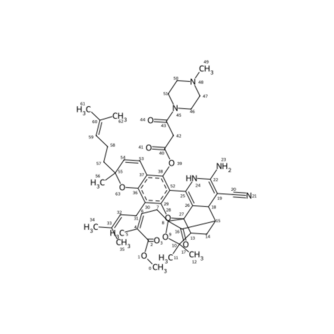 COC(=O)/C(C)=C\CC12OC(C)(C)C3CC(C1=O)C1C(C#N)=C(N)NC4=C1C32Oc1c(CC=C(C)C)c2c(c(OC(=O)CC(=O)N3CCN(C)CC3)c14)C=CC(C)(CCC=C(C)C)O2